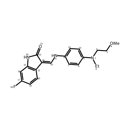 CCN(CCOC)c1ccc(NC=C2C(=O)Nc3cc(F)ccc32)cc1